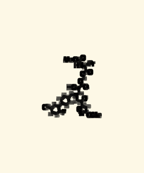 COC(=O)N[C@H](C(=O)OCOC(=O)[C@H](O)CN(CC(=O)c1cc(OC)no1)Cc1ccc(-c2cc(Cl)ccc2F)cc1)C(C)C